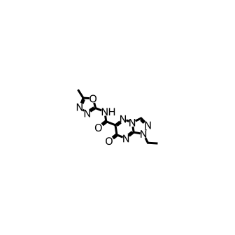 CCn1ncn2nc(C(=O)Nc3nnc(C)o3)c(=O)nc12